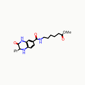 COC(=O)CCCCCNC(=O)c1ccc2c(c1)NC(=O)C(C(C)C)N2